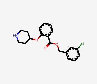 O=C(OCc1cccc(Cl)c1)c1ccccc1OC1CCNCC1